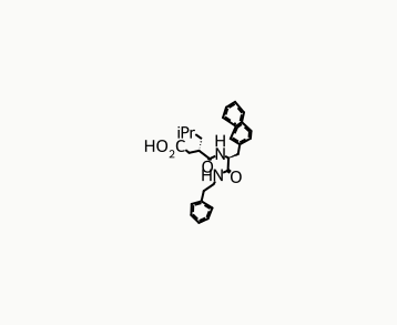 CC(C)C[C@@H](CC(=O)O)C(=O)N[C@@H](Cc1ccc2ccccc2c1)C(=O)NCCc1ccccc1